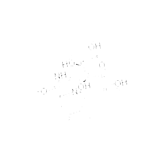 Cc1ccc(C(N)=O)nc1.OC[C@H]1OC(O)[C@H](O)[C@@H]1O